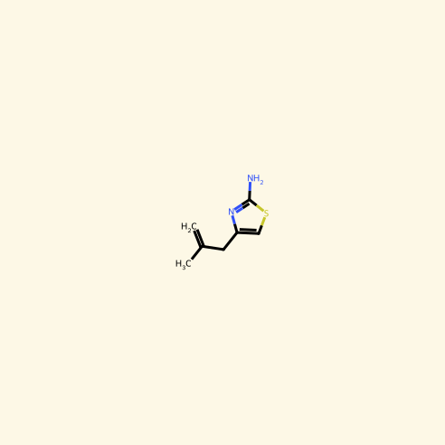 C=C(C)Cc1csc(N)n1